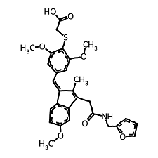 COc1ccc2c(c1)C(CC(=O)NCc1ccco1)=C(C)C2=Cc1cc(OC)c(SCC(=O)O)c(OC)c1